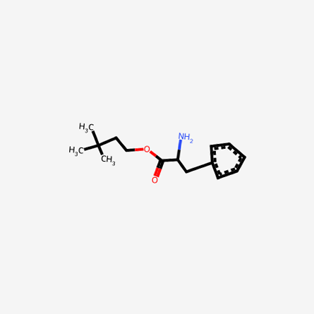 CC(C)(C)CCOC(=O)C(N)Cc1ccccc1